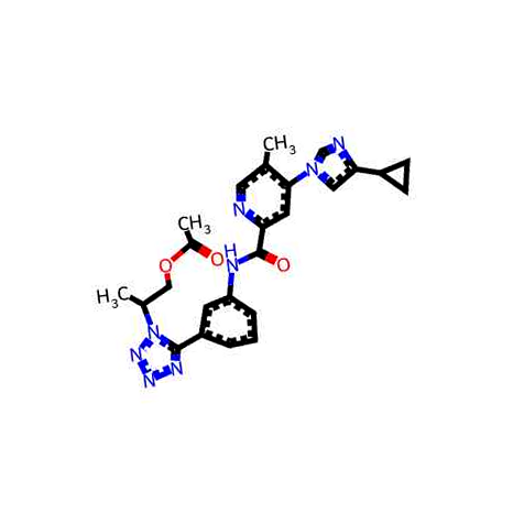 CC(=O)OCC(C)n1nnnc1-c1cccc(NC(=O)c2cc(-n3cnc(C4CC4)c3)c(C)cn2)c1